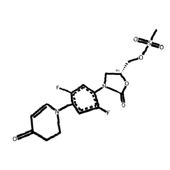 CS(=O)(=O)OC[C@H]1CN(c2cc(F)c(N3C=CC(=O)CC3)cc2F)C(=O)O1